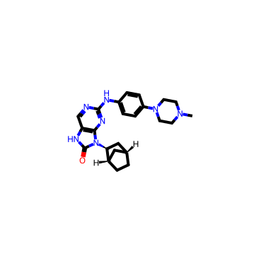 CN1CCN(c2ccc(Nc3ncc4[nH]c(=O)n([C@H]5C[C@@H]6CC[C@H]5C6)c4n3)cc2)CC1